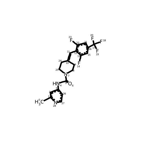 Cc1cc(NC(=O)N2CCC(=Cc3c(F)cc(C(F)(F)F)cc3F)CC2)ccn1